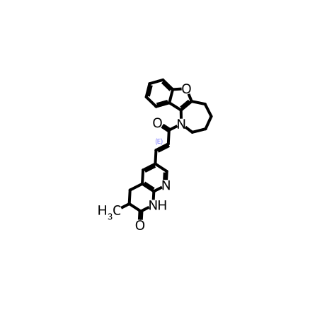 CC1Cc2cc(/C=C/C(=O)N3CCCCc4oc5ccccc5c43)cnc2NC1=O